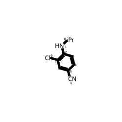 CC(C)Nc1ccc(C#N)cc1Cl